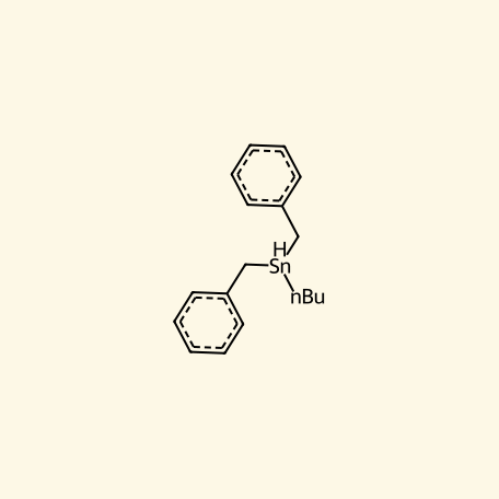 CCC[CH2][SnH]([CH2]c1ccccc1)[CH2]c1ccccc1